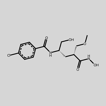 COC[C@@H](C[C@@H](CO)NC(=O)c1ccc(Cl)cc1)C(=O)NO